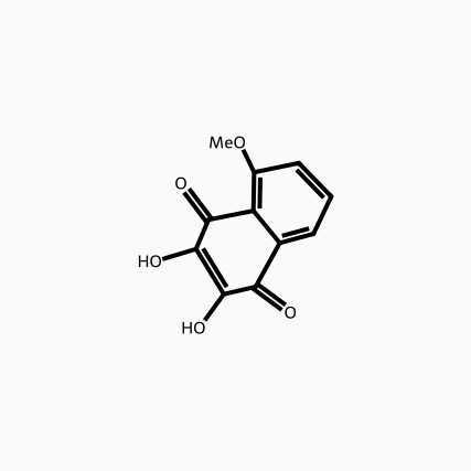 COc1cccc2c1C(=O)C(O)=C(O)C2=O